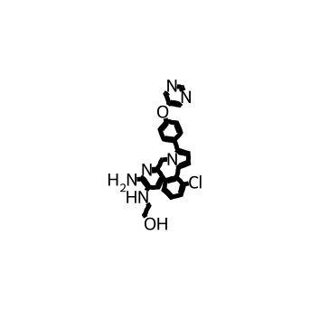 Nc1nc(Cn2c(-c3ccc(Oc4cncnc4)cc3)ccc2-c2ccccc2Cl)ccc1NCCO